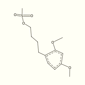 COc1ccc(CCCCOS(C)(=O)=O)c(OC)c1